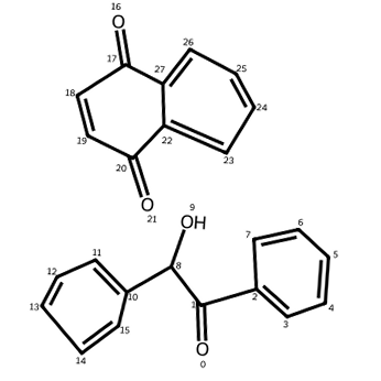 O=C(c1ccccc1)C(O)c1ccccc1.O=C1C=CC(=O)c2ccccc21